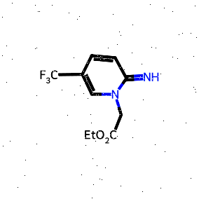 CCOC(=O)Cn1cc(C(F)(F)F)ccc1=N